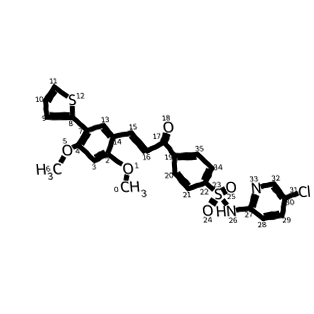 COc1cc(OC)c(-c2cccs2)cc1/C=C/C(=O)c1ccc(S(=O)(=O)Nc2ccc(Cl)cn2)cc1